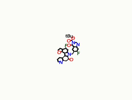 CC(C)(C)OC(=O)n1cnc2cc(F)c(Cn3c4c(c5c6occc6c(F)cc53)-c3cccnc3CC4=O)cc2c1=O